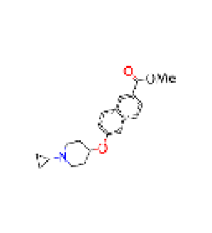 COC(=O)c1ccc2cc(OC3CCN(C4CC4)CC3)ccc2c1